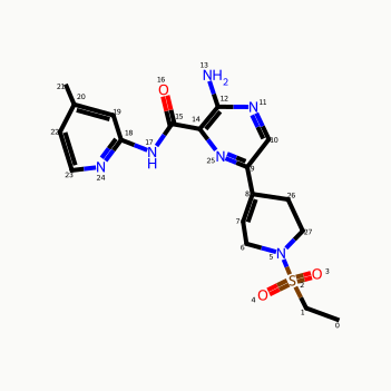 CCS(=O)(=O)N1CC=C(c2cnc(N)c(C(=O)Nc3cc(C)ccn3)n2)CC1